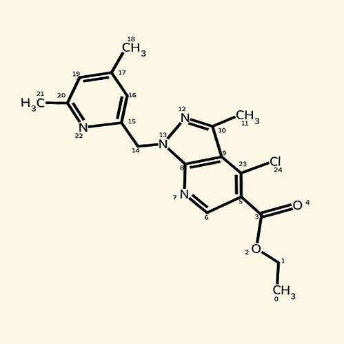 CCOC(=O)c1cnc2c(c(C)nn2Cc2cc(C)cc(C)n2)c1Cl